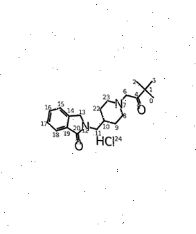 CC(C)(C)C(=O)CN1CCC(CN2Cc3ccccc3C2=O)CC1.Cl